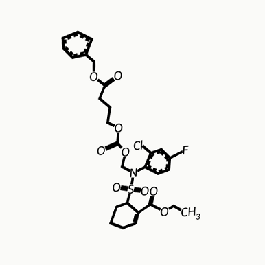 CCOC(=O)C1=CCCCC1S(=O)(=O)N(COC(=O)OCCCC(=O)OCc1ccccc1)c1ccc(F)cc1Cl